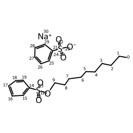 CCCCCCCCCCOS(=O)(=O)c1ccccc1.O=S(=O)([O-])c1ccccc1.[Na+]